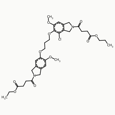 CCCOC(=O)CCC(=O)N1Cc2cc(OC)c(OCCCOc3cc4c(cc3OC)CN(C(=O)CCC(=O)OCC)C4)c(Cl)c2C1